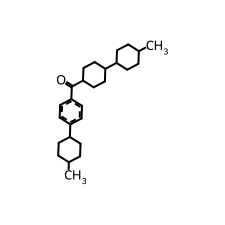 CC1CCC(c2ccc(C(=O)C3CCC(C4CCC(C)CC4)CC3)cc2)CC1